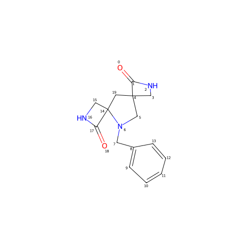 O=C1NCC12CN(Cc1ccccc1)C1(CNC1=O)C2